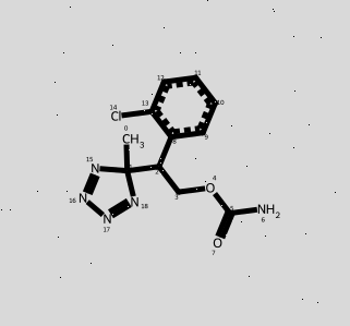 CC1(C(COC(N)=O)c2ccccc2Cl)N=NN=N1